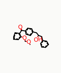 COCOc1ccccc1C(=O)c1ccc(CC(O)Cc2ccccc2)cc1